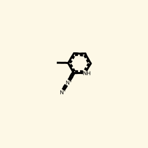 Cc1ccc[nH]c1=[N+]=[N-]